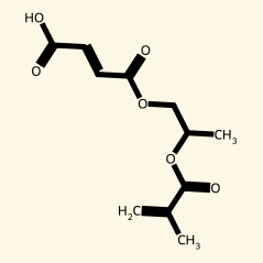 C=C(C)C(=O)OC(C)COC(=O)/C=C/C(=O)O